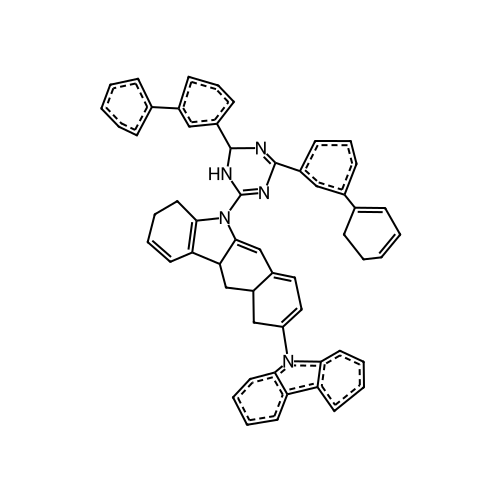 C1=CCCC(c2cccc(C3=NC(c4cccc(-c5ccccc5)c4)NC(N4C5=CC6=CC=C(n7c8ccccc8c8ccccc87)CC6CC5C5=C4CCC=C5)=N3)c2)=C1